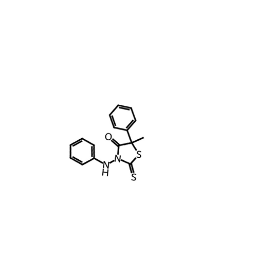 CC1(c2ccccc2)SC(=S)N(Nc2ccccc2)C1=O